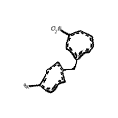 O=[N+]([O-])c1cccc(Cc2ccc(Br)cc2)c1